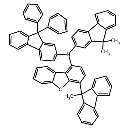 CC1(C)c2ccccc2-c2ccc(N(c3ccc4c(c3)C(c3ccccc3)(c3ccccc3)c3ccccc3-4)c3ccc(C4(C)c5ccccc5-c5ccccc54)c4oc5ccccc5c34)cc21